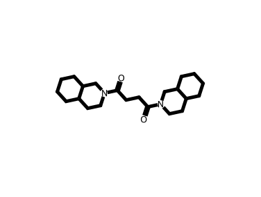 O=C(CCC(=O)N1CCC2CCCCC2C1)N1CCC2CCCCC2C1